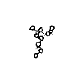 c1ccc(-c2cccc3c2oc2ccc(-c4ccc(N(c5ccc6sc7ccccc7c6c5)c5cccc6c5c5ccccc5n6-c5ccccc5)cc4)cc23)cc1